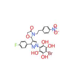 O=C1COC(c2cn(-c3c(O)c(O)c(Br)c(O)c3O)nc2-c2ccc(F)cc2)N1CCc1ccc([N+](=O)[O-])cc1